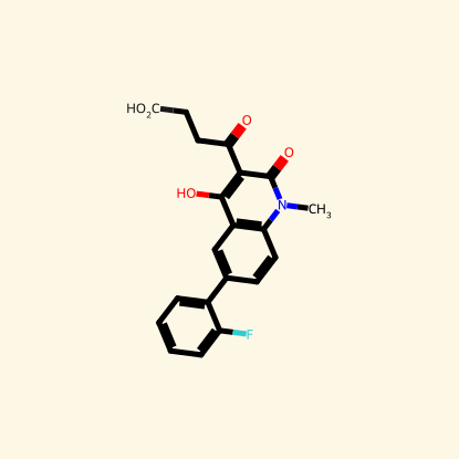 Cn1c(=O)c(C(=O)CCC(=O)O)c(O)c2cc(-c3ccccc3F)ccc21